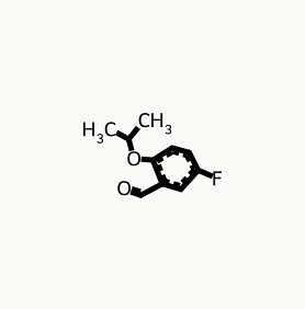 CC(C)Oc1ccc(F)cc1C=O